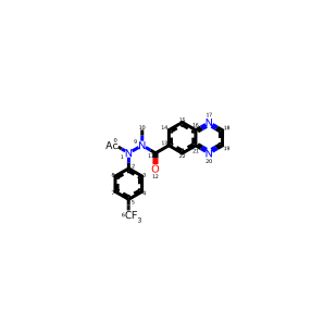 CC(=O)N(c1ccc(C(F)(F)F)cc1)N(C)C(=O)c1ccc2nccnc2c1